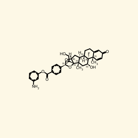 C[C@]12C=CC(=O)C=C1CC[C@H]1[C@@H]3C[C@H]4O[C@H](c5ccc(C(=O)Oc6cccc(N)c6)cc5)O[C@@]4(C(=O)CO)[C@@]3(C)C[C@H](O)[C@@]12F